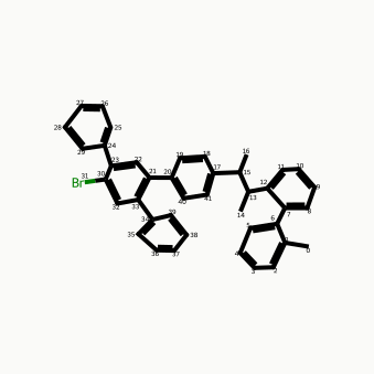 Cc1ccccc1-c1ccccc1C(C)C(C)c1ccc(-c2cc(-c3ccccc3)c(Br)cc2-c2ccccc2)cc1